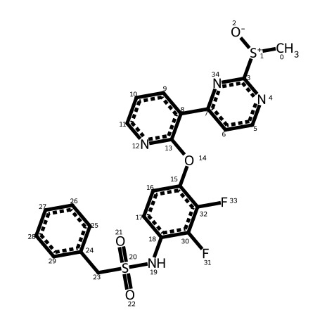 C[S+]([O-])c1nccc(-c2cccnc2Oc2ccc(NS(=O)(=O)Cc3ccccc3)c(F)c2F)n1